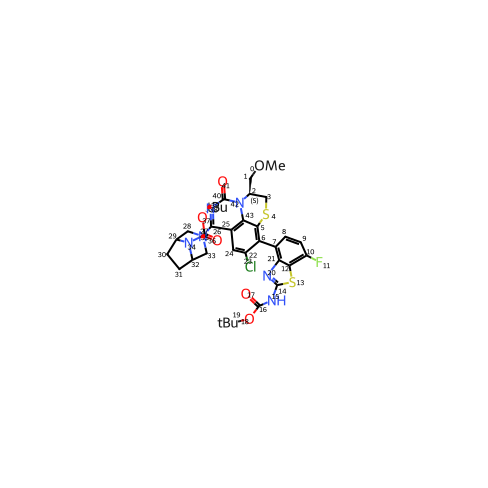 COC[C@H]1CSc2c(-c3ccc(F)c4sc(NC(=O)OC(C)(C)C)nc34)c(Cl)cc3c(N4CC5CCC(C4)N5C(=O)OC(C)(C)C)nc(=O)n1c23